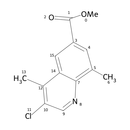 COC(=O)c1cc(C)c2ncc(Cl)c(C)c2c1